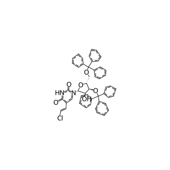 O=c1[nH]c(=O)n([C@@H]2O[C@H](COC(c3ccccc3)(c3ccccc3)c3ccccc3)[C@@H](OC(c3ccccc3)(c3ccccc3)c3ccccc3)[C@H]2O)cc1C=CCl